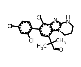 CC(C)(C=O)c1cc(-c2ccc(Cl)cc2Cl)c(Cl)c2nc3n(c12)CCCN3